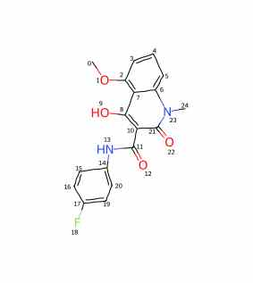 COc1cccc2c1c(O)c(C(=O)Nc1ccc(F)cc1)c(=O)n2C